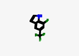 Fc1cc(C(F)(F)F)cc2cc[nH]c12